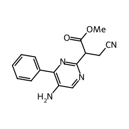 COC(=O)C(CC#N)c1ncc(N)c(-c2ccccc2)n1